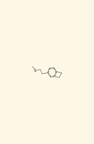 CSCCc1ccc2c(c1)CC2